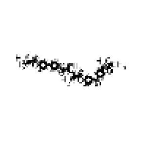 C=C(C)C(=O)Oc1ccc(C(=O)c2ccc(OC(=O)C(=C)C/C=C(\C)C(=O)Oc3ccc(-c4ccc(OC(=O)C(=C)C)cc4)cc3)cc2)cc1